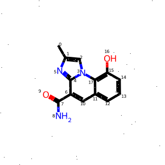 Cc1cn2c(n1)c(C(N)=O)cc1cccc(O)c12